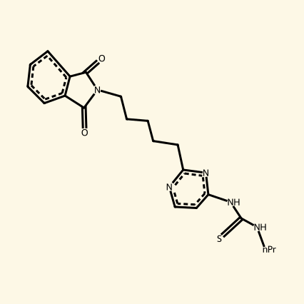 CCCNC(=S)Nc1ccnc(CCCCCN2C(=O)c3ccccc3C2=O)n1